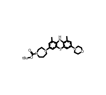 Cc1cc(N2CCOCC2)cc2c1Nc1c(C)cc(N3CCCN(C(=O)OC(C)(C)C)CC3)cc1S2